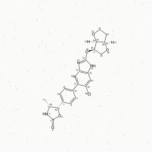 C[C@H]1NC(=O)O[C@H]1c1ccc(-c2nc3nc(O[C@@H]4CO[C@@H]5CCO[C@@H]54)[nH]c3cc2Cl)cc1